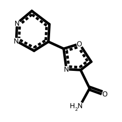 NC(=O)c1coc(-c2ccnnc2)n1